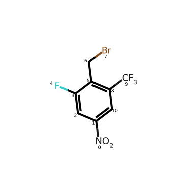 O=[N+]([O-])c1cc(F)c(CBr)c(C(F)(F)F)c1